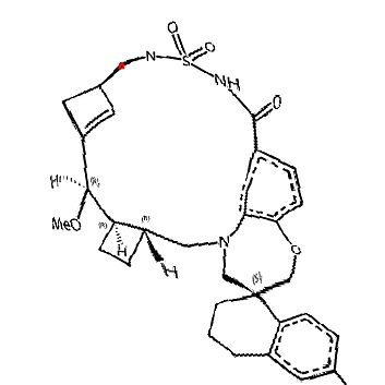 CO[C@H]1C2=CC3(C2)CN(C3)S(=O)(=O)NC(=O)c2ccc3c(c2)N(C[C@@H]2CC[C@H]21)C[C@@]1(CCCc2cc(Cl)ccc21)CO3